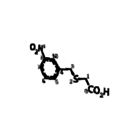 O=C(O)CSCc1cccc([N+](=O)[O-])c1